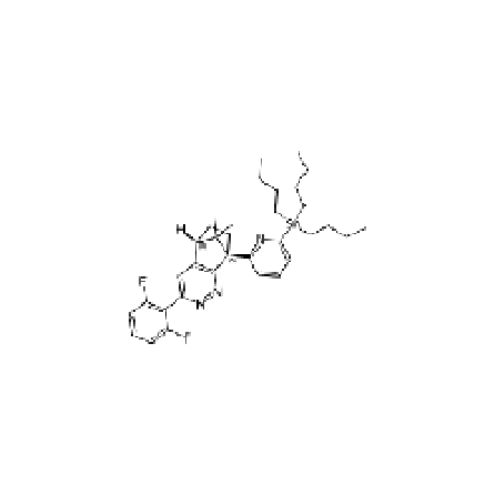 CCC[CH2][Sn]([CH2]CCC)([CH2]CCC)[c]1cccc([C@@]23CC[C@@H](c4cc(-c5c(F)cccc5F)nnc42)C3(C)C)n1